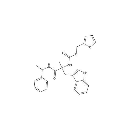 CC(NC(=O)C(C)(Cc1c[nH]c2ccccc12)NC(=O)OCc1ccco1)c1ccccc1